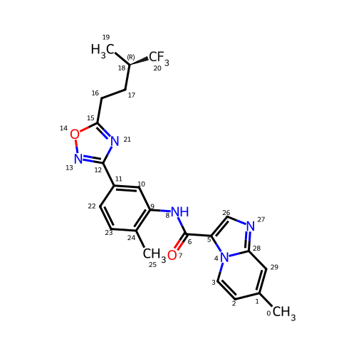 Cc1ccn2c(C(=O)Nc3cc(-c4noc(CC[C@@H](C)C(F)(F)F)n4)ccc3C)cnc2c1